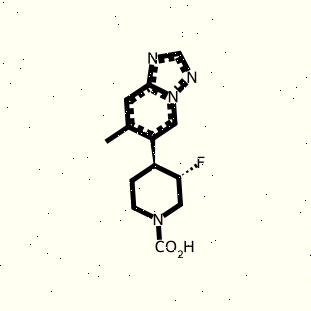 Cc1cc2ncnn2cc1[C@@H]1CCN(C(=O)O)C[C@H]1F